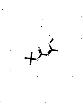 CS/C(C)=N\C(=O)OC(C)(C)C